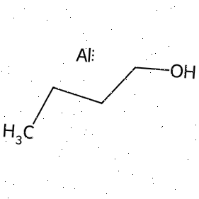 CCCCO.[Al]